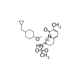 Cc1ccc2n(c1=O)[C@@H](COC1CCC(CC3CC3)CC1)[C@@H](NS(C)(=O)=O)CC2